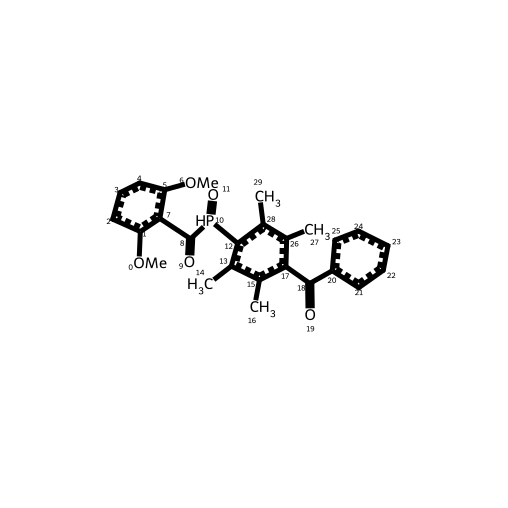 COc1cccc(OC)c1C(=O)[PH](=O)c1c(C)c(C)c(C(=O)c2ccccc2)c(C)c1C